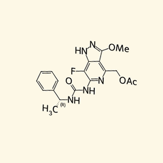 COc1n[nH]c2c(F)c(NC(=O)N[C@H](C)c3ccccc3)nc(COC(C)=O)c12